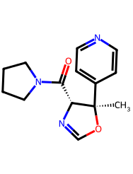 C[C@]1(c2ccncc2)OC=N[C@@H]1C(=O)N1CCCC1